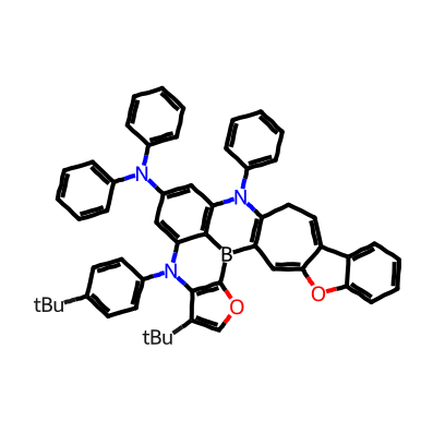 CC(C)(C)c1ccc(N2c3cc(N(c4ccccc4)c4ccccc4)cc4c3B(C3=C(CC=c5c(oc6ccccc56)=C3)N4c3ccccc3)c3occ(C(C)(C)C)c32)cc1